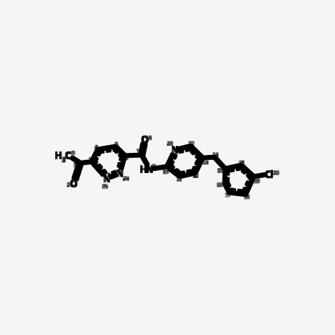 CC(=O)c1ccc(C(=O)Nc2ccc(Cc3cccc(Cl)c3)cn2)nn1